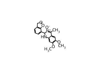 COc1cc2c(cc1OC)C(C)=[N+]([O-])C(c1cccc3c1OOC3)N2